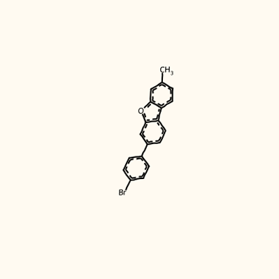 Cc1ccc2c(c1)oc1cc(-c3ccc(Br)cc3)ccc12